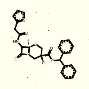 O=C(Cc1cccs1)NC1C(=O)N2CC(Cl)(C(=O)OC(c3ccccc3)c3ccccc3)CS[C@H]12